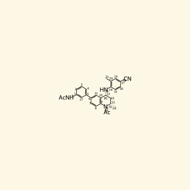 CC(=O)Nc1cccc(-c2ccc3c(c2)[C@H](Nc2ccc(C#N)cc2C)C[C@H](C)N3C(C)=O)c1